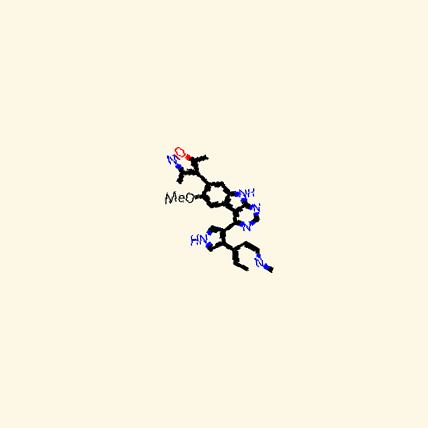 C=N/C=C\C(=C/C)c1c[nH]cc1-c1ncnc2[nH]c3cc(-c4c(C)noc4C)c(OC)cc3c12